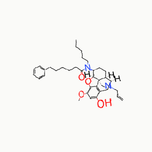 C=CCN1CC[C@]23c4c5c(O)cc(OC)c4O[C@H]2[C@@H](N(CCCCC)C(=O)CCCCCc2ccccc2)CC[C@H]3[C@H]1C5